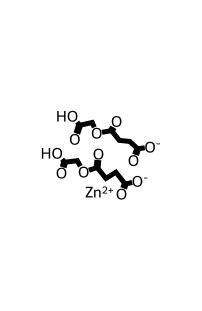 O=C([O-])CCC(=O)OCC(=O)O.O=C([O-])CCC(=O)OCC(=O)O.[Zn+2]